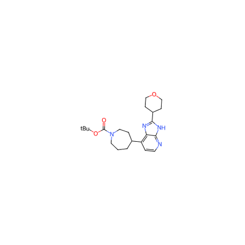 CC(C)(C)OC(=O)N1CCCC(c2ccnc3[nH]c(C4CCOCC4)nc23)CC1